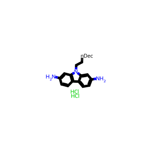 CCCCCCCCCCCCn1c2cc(N)ccc2c2ccc(N)cc21.Cl.Cl